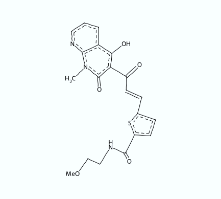 COCCNC(=O)c1ccc(/C=C/C(=O)c2c(O)c3cccnc3n(C)c2=O)s1